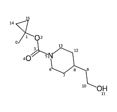 CC1(OC(=O)N2CCC(CCO)CC2)CC1